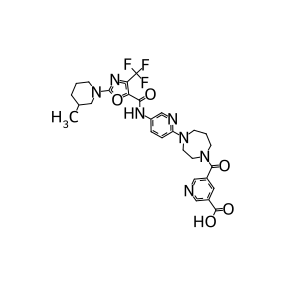 CC1CCCN(c2nc(C(F)(F)F)c(C(=O)Nc3ccc(N4CCCN(C(=O)c5cncc(C(=O)O)c5)CC4)nc3)o2)C1